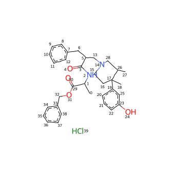 CC(NC(=O)C(Cc1ccccc1)CN1CCC(C)(c2cccc(O)c2)C(C)C1)C(=O)OCc1ccccc1.Cl